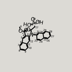 COC(=O)c1cc2ccccc2cc1N(C(=O)CP(=O)(O)O)c1ccc2ccccc2c1